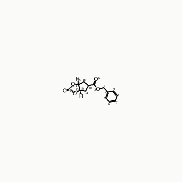 O=C(OCc1ccccc1)C1C[C@@H]2OS(=O)O[C@@H]2C1